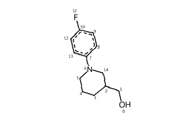 OCC1CCCN(c2ccc(F)cc2)C1